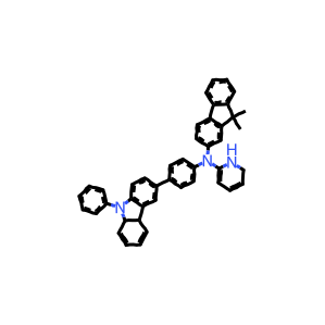 CC1(C)c2ccccc2-c2ccc(N(C3=CC=CCN3)c3ccc(-c4ccc5c(c4)C4C=CC=CC4N5c4ccccc4)cc3)cc21